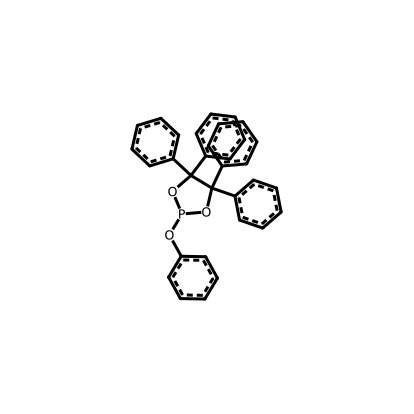 c1ccc(OP2OC(c3ccccc3)(c3ccccc3)C(c3ccccc3)(c3ccccc3)O2)cc1